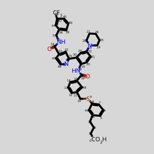 O=C(O)CCCc1cccc(SCc2cccc(C(=O)Nc3ccc(N4CCCCC4)cc3-c3cc(C(=O)NCc4cccc(C(F)(F)F)c4)ccn3)c2)c1